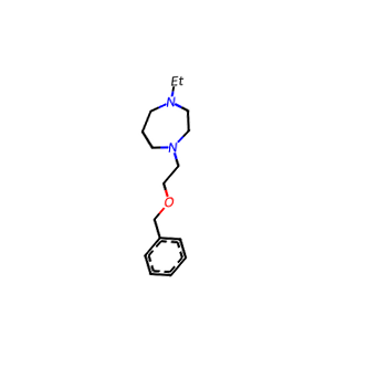 CCN1CCCN(CCOCc2ccccc2)CC1